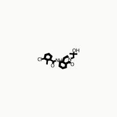 Cc1c(Cl)cccc1C(=O)Nc1cccc2c(=O)n(CC(C)(C)O)ccc12